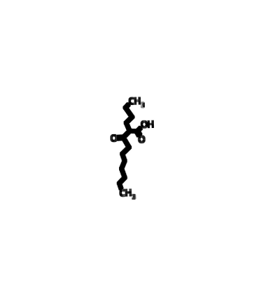 CCCCCCCC(=O)C(CCCC)C(=O)O